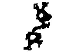 COc1ncc(CNc2ccc(Br)c(Cl)n2)cc1F